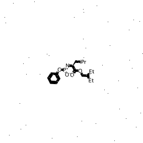 CCC(CC)COC(=O)[C@H](CC(C)C)N=[P+]([O-])Oc1ccccc1